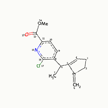 C=C1CCC=C1C(C)c1ccc(C(=O)OC)nc1Cl